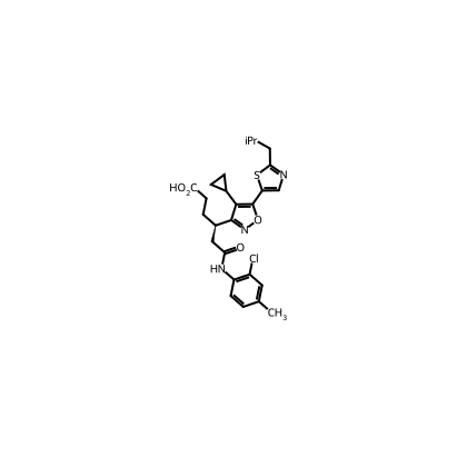 Cc1ccc(NC(=O)C[C@@H](CCC(=O)O)c2noc(-c3cnc(CC(C)C)s3)c2C2CC2)c(Cl)c1